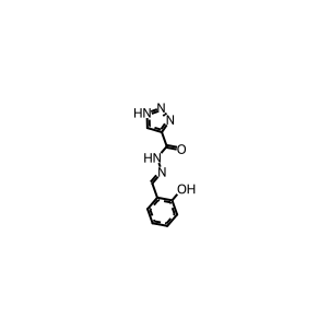 O=C(NN=Cc1ccccc1O)c1c[nH]nn1